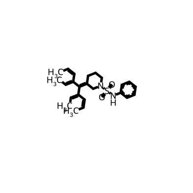 C/C=C\C(=C/C)C(=C1CCCN(S(=O)(=O)Nc2ccccc2)C1)C(/C=C\C)=C/C